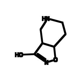 OC1=NOC2CCNCC12